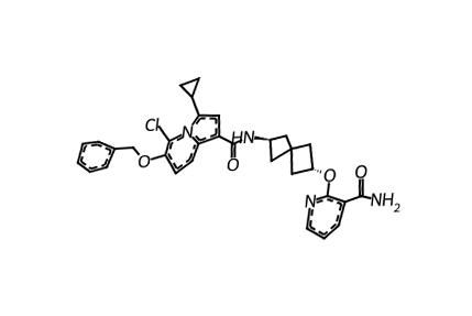 NC(=O)c1cccnc1O[C@H]1CC2(C[C@H](NC(=O)c3cc(C4CC4)n4c(Cl)c(OCc5ccccc5)ccc34)C2)C1